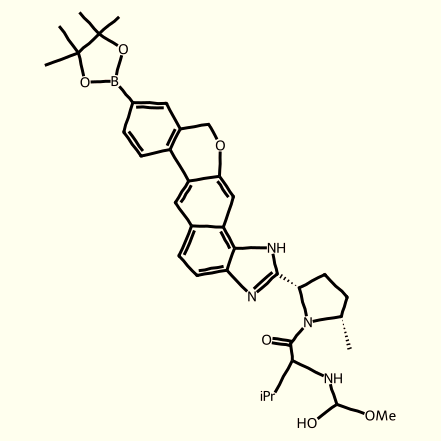 COC(O)NC(C(=O)N1[C@@H](C)CC[C@H]1c1nc2ccc3cc4c(cc3c2[nH]1)OCc1cc(B2OC(C)(C)C(C)(C)O2)ccc1-4)C(C)C